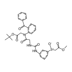 COC(=O)C[S+]([O-])c1cccc(NC(=O)NCC(=O)N(CC(=O)OC(C)(C)C)c2ccccc2C(=O)c2ccccc2)c1